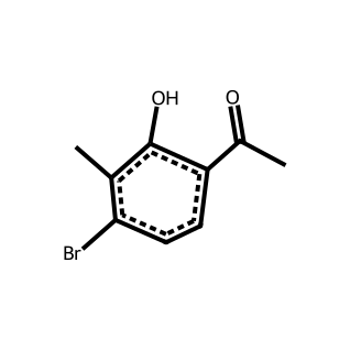 CC(=O)c1ccc(Br)c(C)c1O